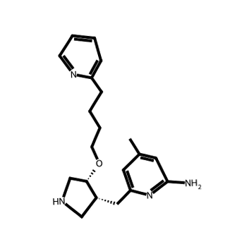 Cc1cc(N)nc(C[C@@H]2CNC[C@@H]2OCCCCc2ccccn2)c1